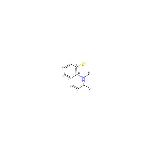 CC/C=C\c1cccc(S)c1NC